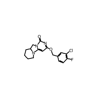 O=c1nc(OCc2ccc(F)c(Cl)c2)cc2n1CC1CCCCN21